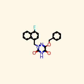 O=c1[nH]c(=O)n(Cc2ccc(F)c3ccccc23)nc1OCc1ccccc1